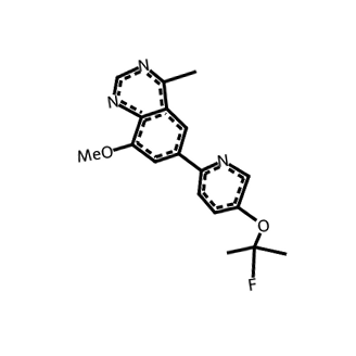 COc1cc(-c2ccc(OC(C)(C)F)cn2)cc2c(C)ncnc12